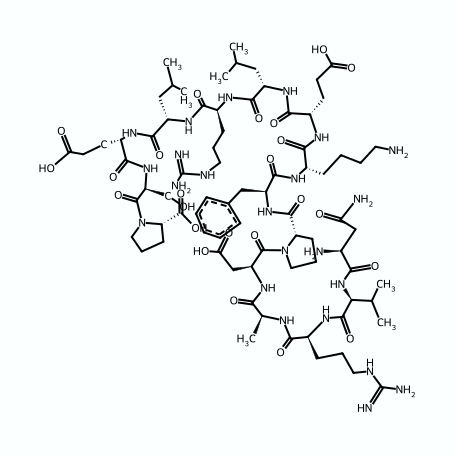 CC(C)C[C@H](NC(=O)[C@H](CCC(=O)O)NC(=O)[C@H](CCCCN)NC(=O)[C@H](Cc1ccccc1)NC(=O)[C@@H]1CCCN1C(=O)[C@H](CC(=O)O)NC(=O)[C@H](C)NC(=O)[C@H](CCCNC(=N)N)NC(=O)[C@@H](NC(=O)[C@@H](N)CC(N)=O)C(C)C)C(=O)N[C@@H](CCCNC(=N)N)C(=O)N[C@@H](CC(C)C)C(=O)N[C@@H](CCC(=O)O)C(=O)N[C@@H](CO)C(=O)N1CCC[C@H]1C(=O)O